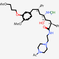 COCCCOc1cc(C[C@@H](C[C@H](N)[C@@H](O)C[C@H](C(=O)NCCN2CCN(C(C)=O)CC2)C(C)C)C(C)C)ccc1OC.Cl